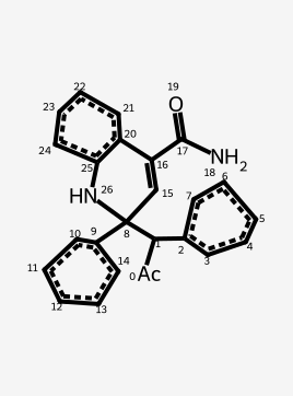 CC(=O)C(c1ccccc1)C1(c2ccccc2)C=C(C(N)=O)c2ccccc2N1